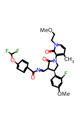 COCCn1ccc(C)c(N2C[C@@H](c3ccc(OC)cc3F)C(/C=N/C(=O)c3ccc(OC(F)F)cc3)C2=O)c1=O